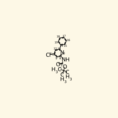 CC(C)(C)OC(=O)Nc1cc(Cl)cc(-c2ccccc2)n1